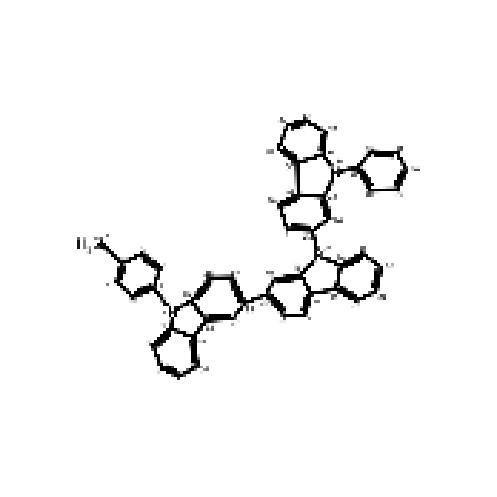 [SiH3]c1ccc(-n2c3ccccc3c3cc(-c4ccc5c6ccccc6n(-c6ccc7c8ccccc8n(-c8ccccc8)c7c6)c5c4)ccc32)cc1